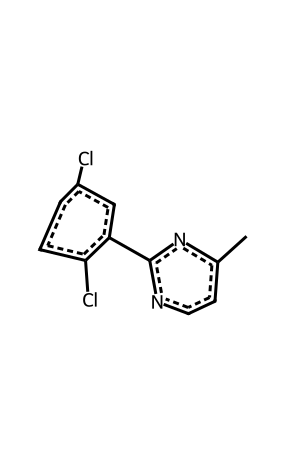 Cc1ccnc(-c2cc(Cl)ccc2Cl)n1